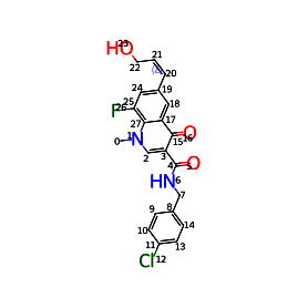 Cn1cc(C(=O)NCc2ccc(Cl)cc2)c(=O)c2cc(/C=C\CO)cc(F)c21